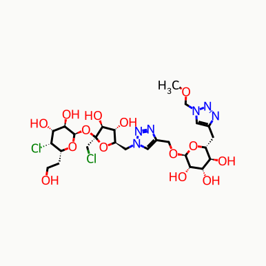 COCn1cc(C[C@H]2O[C@H](OCc3cn(C[C@H]4O[C@@](CCl)(O[C@H]5O[C@H](CCO)[C@H](Cl)[C@H](O)[C@H]5O)[C@@H](O)[C@@H]4O)nn3)[C@@H](O)[C@@H](O)[C@@H]2O)nn1